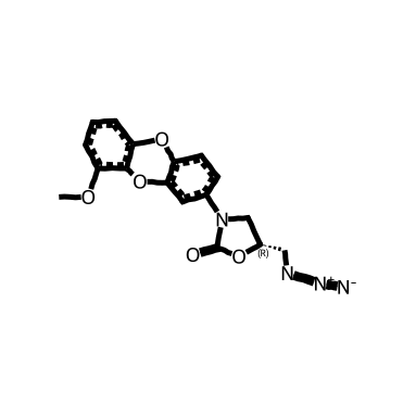 COc1cccc2c1Oc1cc(N3C[C@H](CN=[N+]=[N-])OC3=O)ccc1O2